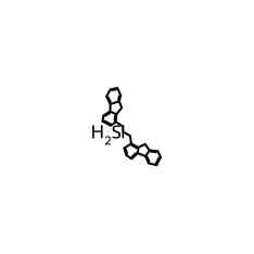 c1ccc2c(c1)Cc1c(C[SiH2]Cc3cccc4c3Cc3ccccc3-4)cccc1-2